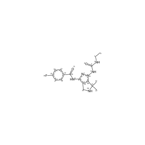 CCNC(=O)Nn1nc(NC(=O)c2ccc(F)cc2)c2c1C(C)(C)NC2